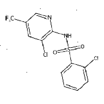 O=S(=O)(Nc1ncc(C(F)(F)F)cc1Cl)c1ccccc1Cl